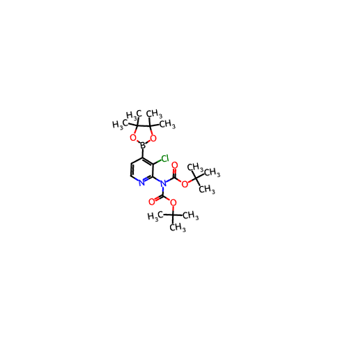 CC(C)(C)OC(=O)N(C(=O)OC(C)(C)C)c1nccc(B2OC(C)(C)C(C)(C)O2)c1Cl